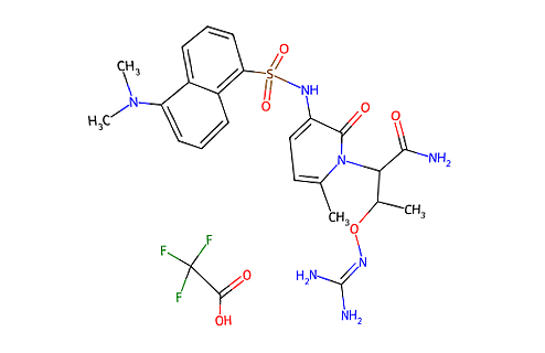 Cc1ccc(NS(=O)(=O)c2cccc3c(N(C)C)cccc23)c(=O)n1C(C(N)=O)C(C)ON=C(N)N.O=C(O)C(F)(F)F